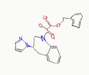 O=C(OCc1ccccc1)S(=O)(=O)N1C[C@H](n2cccn2)Cc2ccccc21